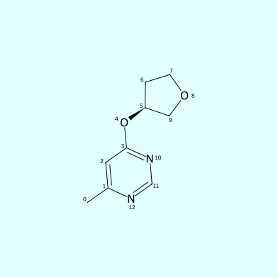 Cc1cc(O[C@H]2CCOC2)ncn1